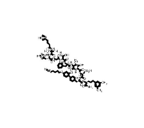 CCc1cc(OCCCCN=[N+]=[N-])ccc1-c1ccc(C[C@H](NC(=O)[C@H](CC(=O)O)NC(=O)[C@H](CO)NC(=O)C(NC(=O)[C@](C)(Cc2ccccc2F)NC(=O)[C@@H](NC(=O)CNC(=O)[C@H](Cc2nn[nH]n2)NC(=O)C(C)(C)NC(=O)CCCc2c[nH]cn2)[C@@H](C)O)[C@@H](C)O)C(=O)N[C@@H](CCCc2cc(C)cc(C)c2)C(N)=O)cc1